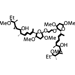 CC[C@H](OC)[C@@H](C)[C@@H]1C[C@H]1[C@H](O)[C@@H](C)/C=C/C=C(\C)[C@H]1O[C@@H](OC)C[C@H](OC)[C@@H]1OCCO[C@@H]1O[C@H](/C(C)=C/C=C/[C@H](C)[C@@H](O)[C@@H]2C[C@H]2[C@H](C)[C@H](CC)OC)[C@H](OC)C[C@H]1OC